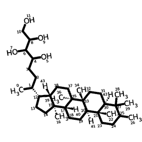 CC(CCC(O)C(O)C(O)CO)[C@H]1CC[C@]2(C)[C@H]3CC[C@@H]4[C@@]5(C)CCC(C)C(C)(C)[C@@H]5CC[C@@]4(C)[C@]3(C)CC[C@@H]12